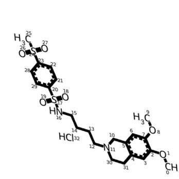 COc1cc2c(cc1OC)CN(CCCCNS(=O)(=O)c1ccc(S(C)(=O)=O)cc1)CC2.Cl